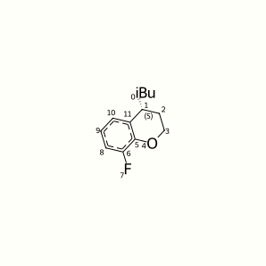 CCC(C)[C@@H]1CCOc2c(F)cccc21